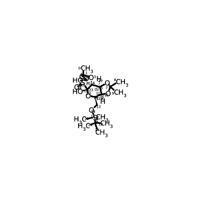 CC(=O)O[C@@H]1[C@H]2OC(C)(C)O[C@H]2[C@@H](CO[Si](C)(C)C(C)(C)C)O[C@]1(O)S(=O)(=O)O